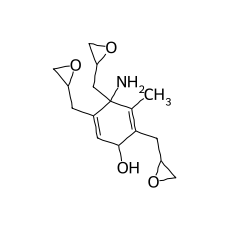 CC1=C(CC2CO2)C(O)C=C(CC2CO2)C1(N)CC1CO1